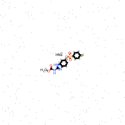 COC(=O)Nc1nc2ccc(OS(=O)(=O)c3ccc(F)cc3)cc2[nH]1.[NaH]